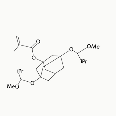 C=C(C)C(=O)OC12CC3CC(OC(OC)C(C)C)(C1)CC(OC(OC)C(C)C)(C3)C2